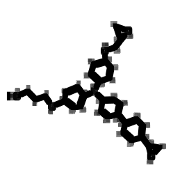 OCCCOc1ccc(N(c2ccc(OCC3CO3)cc2)c2ccc(-c3ccc(C4CO4)cc3)cc2)cc1